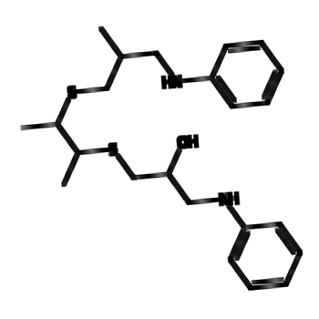 CC(CNc1ccccc1)CSC(C)C(C)SCC(O)CNc1ccccc1